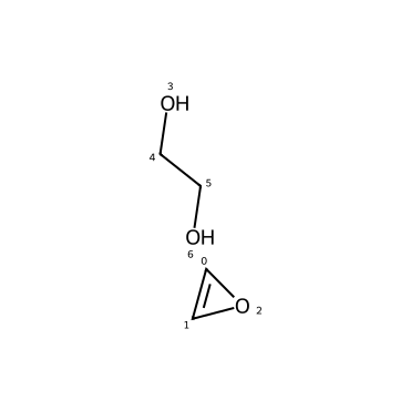 C1=CO1.OCCO